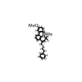 COc1ccc(OC)c(-c2cccc3c2NC(C)(C)C=C3CSCCc2ccccc2)c1